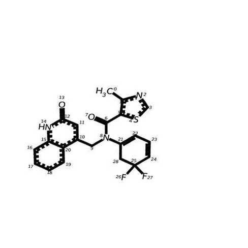 Cc1ncsc1C(=O)N(Cc1cc(=O)[nH]c2ccccc12)C1=CC=CC(F)(F)C1